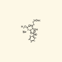 CCCCCCCCCCCCCC(O)C(CC(C)O)OS(=O)(=O)c1ccccc1.[Na]